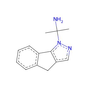 CC(C)(N)n1ncc2c1-c1ccccc1C2